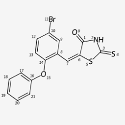 O=C1NC(=S)S/C1=C/c1cc(Br)ccc1Oc1ccccc1